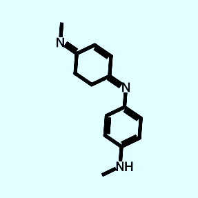 CN=C1C=CC(=Nc2ccc(NC)cc2)CC1